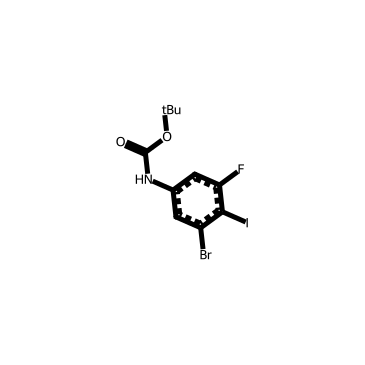 CC(C)(C)OC(=O)Nc1cc(F)c(I)c(Br)c1